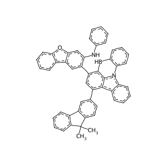 CC1(C)c2ccccc2-c2cc(-c3cc(-c4cc5c(cc4Nc4ccccc4)oc4ccccc45)c4c5c3c3ccccc3n5-c3ccccc3B4)ccc21